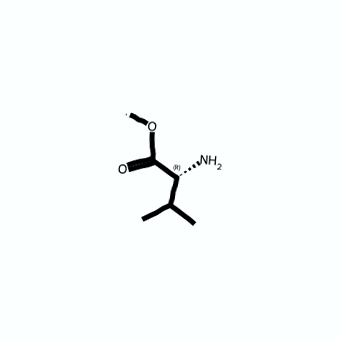 [CH2]OC(=O)[C@H](N)C(C)C